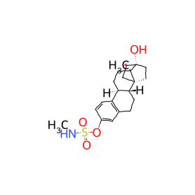 CNS(=O)(=O)Oc1ccc2c(c1)CC[C@@H]1[C@@H]2CC[C@]2(C)[C@]3(O)CC[C@@]12CC3